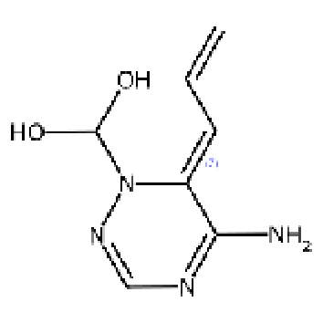 C=C/C=C1/C(N)=NC=NN1C(O)O